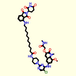 CNC(=O)COc1cc2cc(Nc3nc(N4CCC(NC(=O)CCCCCCCCCCCNc5cccc6c5C(=O)N(C5CCC(=O)NC5=O)C6=O)CC4)ncc3Cl)cc(OC)c2n(C)c1=O